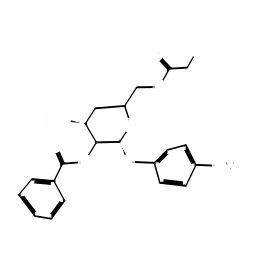 COc1ccc(O[C@@H]2OC(COC(=O)CCl)C[C@H](C)C2OC(=O)c2ccccc2)cc1